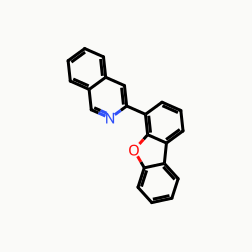 c1ccc2cc(-c3cccc4c3oc3ccccc34)ncc2c1